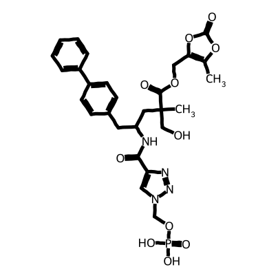 Cc1oc(=O)oc1COC(=O)C(C)(CO)CC(Cc1ccc(-c2ccccc2)cc1)NC(=O)c1cn(COP(=O)(O)O)nn1